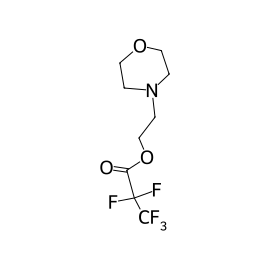 O=C(OCCN1CCOCC1)C(F)(F)C(F)(F)F